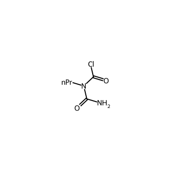 [CH2]CCN(C(N)=O)C(=O)Cl